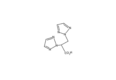 O=C(O)C(Cn1nccn1)n1nccn1